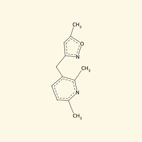 Cc1ccc(Cc2cc(C)on2)c(C)n1